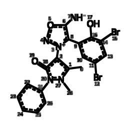 Cc1c(-[n+]2noc([NH-])c2-c2cc(Br)cc(Br)c2O)c(=O)n(-c2ccccc2)n1C